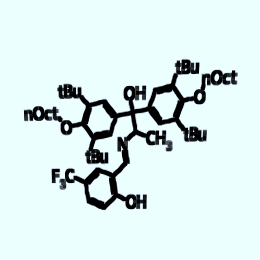 CCCCCCCCOc1c(C(C)(C)C)cc(C(O)(c2cc(C(C)(C)C)c(OCCCCCCCC)c(C(C)(C)C)c2)C(C)N=Cc2cc(C(F)(F)F)ccc2O)cc1C(C)(C)C